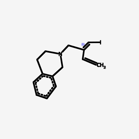 C=C/C(=C\I)CN1CCc2ccccc2C1